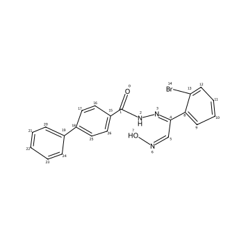 O=C(N/N=C(\C=N/O)c1ccccc1Br)c1ccc(-c2ccccc2)cc1